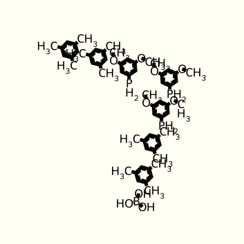 COc1cc(P)cc(OC)c1.COc1cc(P)cc(OC)c1.COc1cc(P)cc(OC)c1.Cc1cc(C)cc(C)c1.Cc1cc(C)cc(C)c1.Cc1cc(C)cc(C)c1.Cc1cc(C)cc(C)c1.OB(O)O